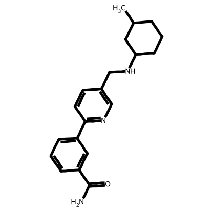 CC1CCCC(NCc2ccc(-c3cccc(C(N)=O)c3)nc2)C1